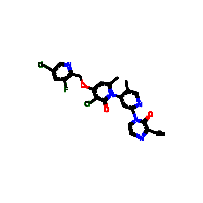 Cc1cnc(-n2ccnc(C(C)(C)C)c2=O)cc1-n1c(C)cc(OCc2ncc(Cl)cc2F)c(Cl)c1=O